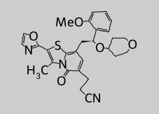 COc1ccccc1[C@H](Cc1cc(CCC#N)c(=O)n2c(C)c(-c3ncco3)sc12)OC1CCOCC1